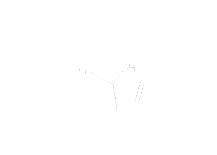 C=C.CC(S)Cl